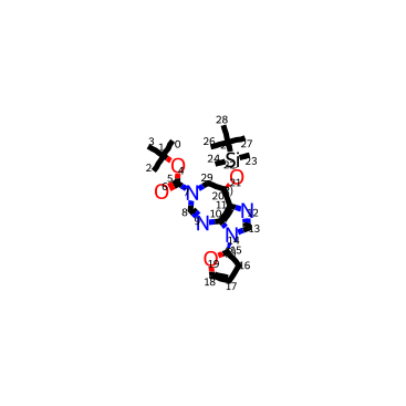 CC(C)(C)OC(=O)N1C=Nc2c(ncn2[C@H]2CC=CO2)[C@H](O[Si](C)(C)C(C)(C)C)C1